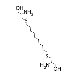 NC(CO)CSCCCCCCCCCCSCC(N)CO